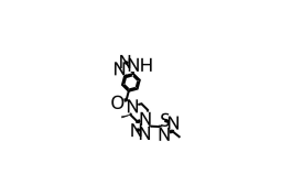 Cc1nsc(-c2nnc3n2CCN(C(=O)c2ccc4[nH]nnc4c2)[C@@H]3C)n1